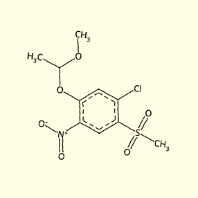 COC(C)Oc1cc(Cl)c(S(C)(=O)=O)cc1[N+](=O)[O-]